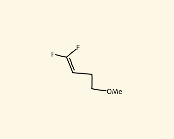 [CH2]OCCC=C(F)F